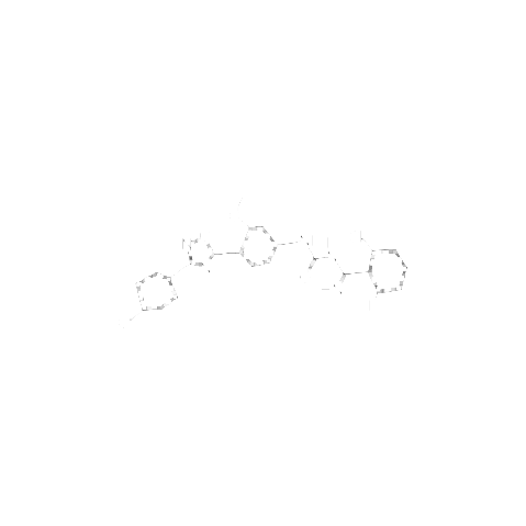 COc1cc(NC(=O)NC(=N)c2c(F)cccc2Cl)ccc1-c1nc(-c2ccc(Cl)cc2)no1